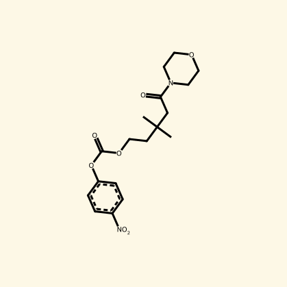 CC(C)(CCOC(=O)Oc1ccc([N+](=O)[O-])cc1)CC(=O)N1CCOCC1